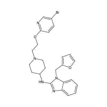 Brc1ccc(OCCN2CCC(Nc3nc4ccccc4n3Cc3ccco3)CC2)nc1